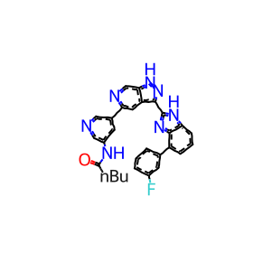 CCCCC(=O)Nc1cncc(-c2cc3c(-c4nc5c(-c6cccc(F)c6)cccc5[nH]4)n[nH]c3cn2)c1